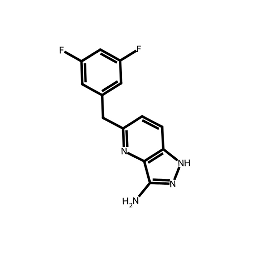 Nc1n[nH]c2ccc(Cc3cc(F)cc(F)c3)nc12